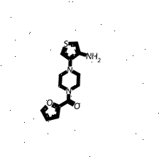 Nc1cscc1N1CCN(C(=O)c2ccco2)CC1